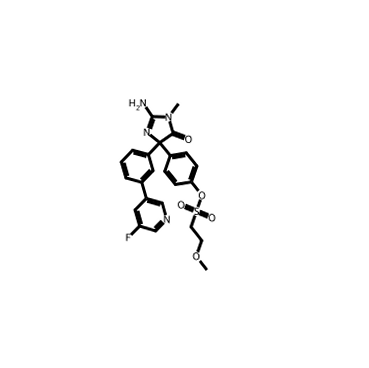 COCCS(=O)(=O)Oc1ccc(C2(c3cccc(-c4cncc(F)c4)c3)N=C(N)N(C)C2=O)cc1